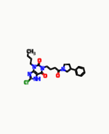 CCCCn1c(=O)n(CCCC(=O)N2CCC(c3ccccc3)C2)c(=O)c2[nH]c(Cl)nc21